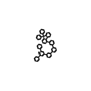 c1ccc(-c2cc(-c3cccc(-c4cccc(-c5cccc(-c6cccc7c6-c6ccccc6C7(c6ccccc6)c6ccccc6)c5)c4)c3)cc(-c3ccccc3)n2)cc1